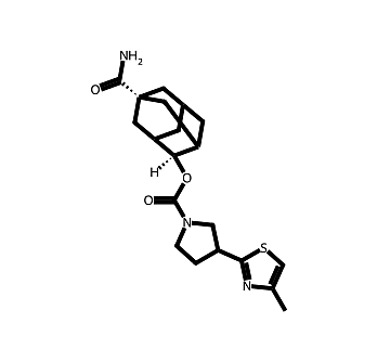 Cc1csc(C2CCN(C(=O)O[C@H]3C4CC5CC3C[C@](C(N)=O)(C5)C4)C2)n1